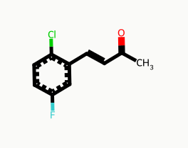 CC(=O)C=Cc1cc(F)ccc1Cl